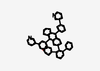 c1ccc(-c2cccc(-c3ccccc3)c2-c2ccc3c(-c4cccc(-c5cccnc5)c4)c4ccccc4c(-c4cccc(-c5cccnc5)c4)c3c2)cc1